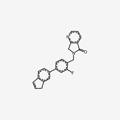 O=C1c2cccnc2CN1Cc1ccc(-c2ccc3c(c2)CC=C3)cc1F